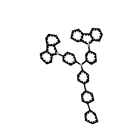 c1ccc(-c2ccc(-c3ccc(N(c4ccc(-n5c6ccccc6c6ccccc65)cc4)c4cccc(-n5c6ccccc6c6ccccc65)c4)cc3)cc2)cc1